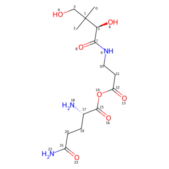 CC(C)(CO)[C@@H](O)C(=O)NCCC(=O)OC(=O)[C@@H](N)CCC(N)=O